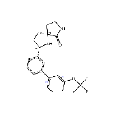 C/C=C(\C=C(/C)OC(F)(F)F)c1ccnc([C@@H]2CC[C@@]3(CCNC3=O)N2)c1